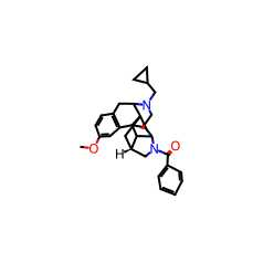 COc1ccc2c(c1)C13CCN(CC4CC4)C(C2)C12CCC1C3[C@H](CN1C(=O)c1ccccc1)C2